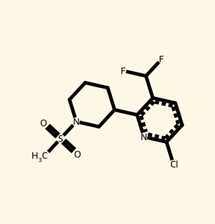 CS(=O)(=O)N1CCCC(c2nc(Cl)ccc2C(F)F)C1